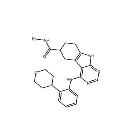 CCNC(=O)C1CCc2[nH]c3ncnc(Nc4ccccc4N4CCOCC4)c3c2C1